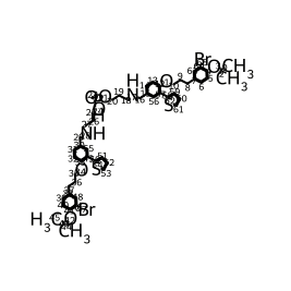 CC(C)Oc1ccc(CCCOc2ccc(CNCCCO[PH](=O)OCCCNCc3ccc(OCCCc4ccc(OC(C)C)c(Br)c4)c(-c4cccs4)c3)cc2-c2cccs2)cc1Br